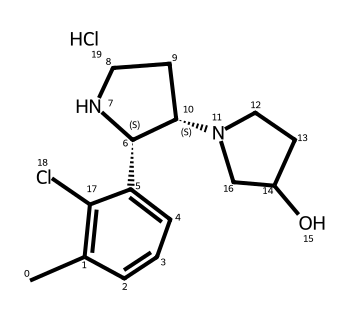 Cc1cccc([C@@H]2NCC[C@@H]2N2CCC(O)C2)c1Cl.Cl